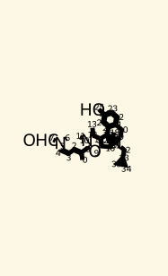 C/C(=C\C=C/N(C)C=O)C(=O)N(C)C(C)C1CCC2(C)C3Cc4ccc(O)cc4C12CCN3CC1CC1